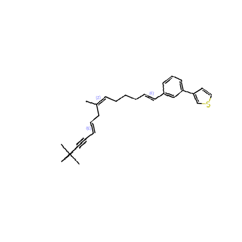 C/C(=C/CCC/C=C/c1cccc(-c2ccsc2)c1)C/C=C/C#CC(C)(C)C